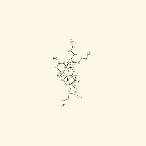 CC(C)CCC[C@@H](C)[C@H]1CC[C@H]2[C@@H]3C[C@@H](N(CCCN)CCCCN)[C@@]4(O)C[C@@H](O)CC[C@]4(C)[C@H]3CC[C@]12C